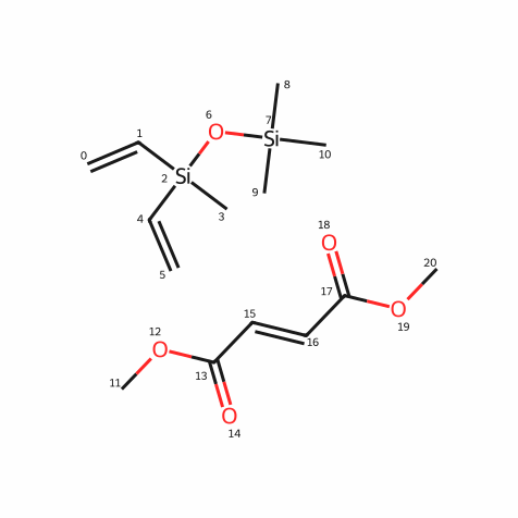 C=C[Si](C)(C=C)O[Si](C)(C)C.COC(=O)/C=C/C(=O)OC